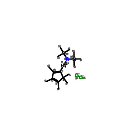 CC1=C(C)C(C)(C)[C]([Hf+2][N]([Si](C)(C)C)[Si](C)(C)C)=C1C.[Cl-].[Cl-]